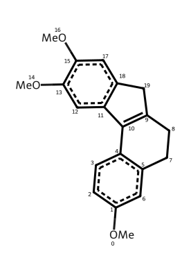 COc1ccc2c(c1)CCC1=C2c2cc(OC)c(OC)cc2C1